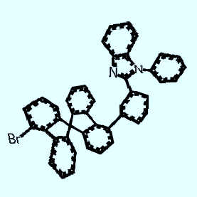 Brc1cccc2c1-c1ccccc1C21c2ccccc2-c2c(-c3cccc(-c4nc5ccccc5n4-c4ccccc4)c3)cccc21